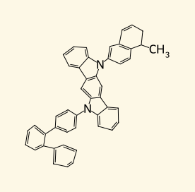 CC1CC=Cc2cc(-n3c4ccccc4c4cc5c(cc43)c3ccccc3n5-c3ccc(-c4ccccc4-c4ccccc4)cc3)ccc21